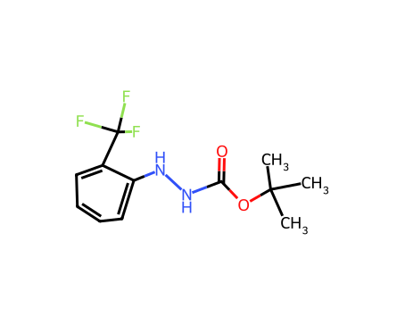 CC(C)(C)OC(=O)NNc1ccccc1C(F)(F)F